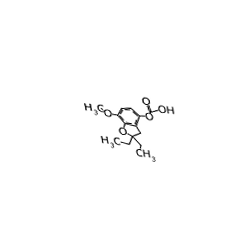 CCC1(CC)Cc2c(OC(=O)O)ccc(OC)c2O1